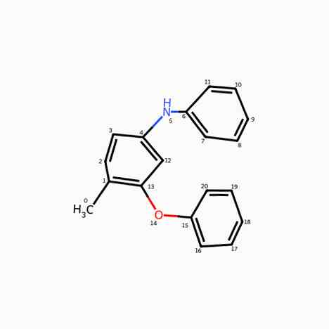 Cc1ccc(Nc2ccccc2)cc1Oc1ccccc1